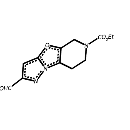 CCOC(=O)N1CCc2c(oc3cc(C=O)nn23)C1